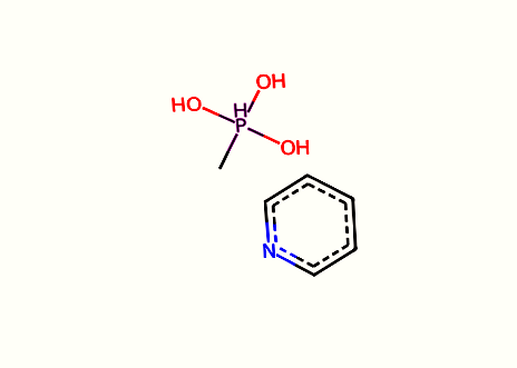 C[PH](O)(O)O.c1ccncc1